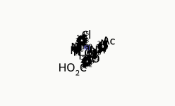 CC(=O)N1CCC(C[C@H](NC(=O)/C=C/c2cc(Cl)ccc2-n2cnnn2)C(=O)Nc2ccc(C(=O)O)cc2)CC1